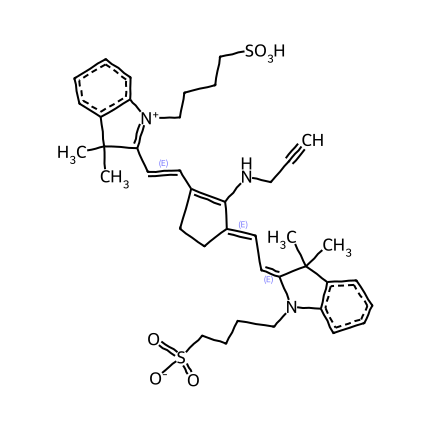 C#CCNC1=C(/C=C/C2=[N+](CCCCS(=O)(=O)O)c3ccccc3C2(C)C)CC/C1=C\C=C1\N(CCCCS(=O)(=O)[O-])c2ccccc2C1(C)C